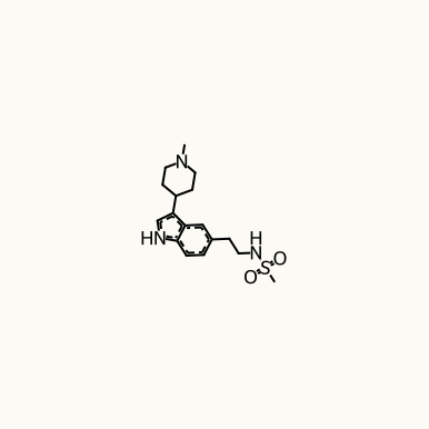 CN1CCC(c2c[nH]c3ccc(CCNS(C)(=O)=O)cc23)CC1